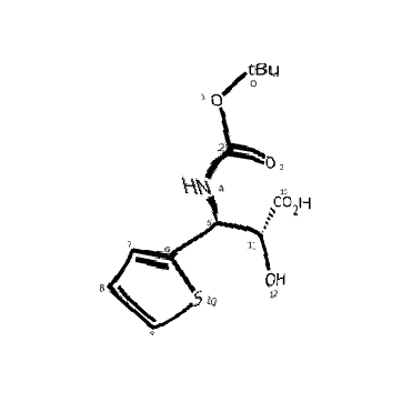 CC(C)(C)OC(=O)N[C@H](c1cccs1)[C@@H](O)C(=O)O